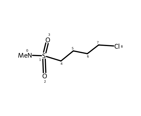 CNS(=O)(=O)CCCCCl